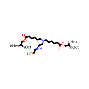 CCCCCCCCC(CCCCCC)COC(=O)CCCCCN(CCCCCC(=O)OCC(CCCCCC)CCCCCCCC)CCNCCO